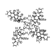 CNc1c2c(=O)c3ccccc3c(=O)c2c(N)c2c(=O)n(C(C)COCC(COCC(C)n3c(=O)c4c(N)c5c(=O)c6ccccc6c(=O)c5c(NC)c4c3=O)(COCC(C)n3c(=O)c4c(N)c5c(=O)c6ccccc6c(=O)c5c(NC)c4c3=O)COCC(C)n3c(=O)c4c(N)c5c(=O)c6ccccc6c(=O)c5c(NC)c4c3=O)c(=O)c12